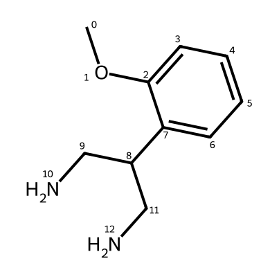 COc1ccccc1C(CN)CN